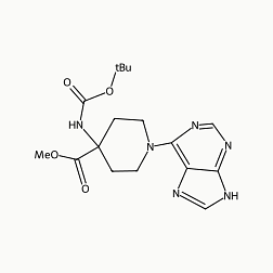 COC(=O)C1(NC(=O)OC(C)(C)C)CCN(c2ncnc3[nH]cnc23)CC1